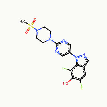 CS(=O)(=O)N1CCN(c2ncc(-n3ncc4cc(F)c(O)c(F)c43)cn2)CC1